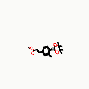 COC(=O)/C=C/c1ccc(B2OC(C)(C)C(C)(C)O2)c(C)c1